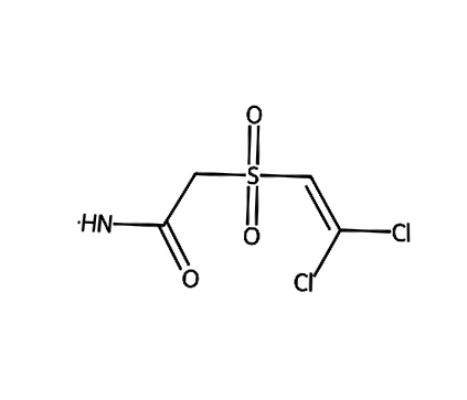 [NH]C(=O)CS(=O)(=O)C=C(Cl)Cl